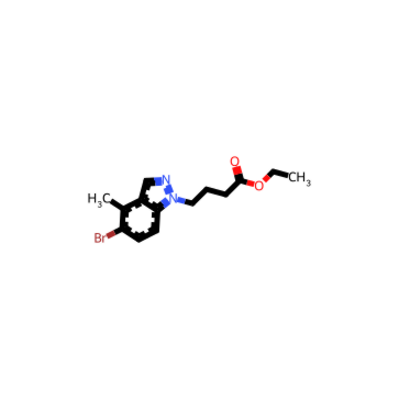 CCOC(=O)CCCn1ncc2c(C)c(Br)ccc21